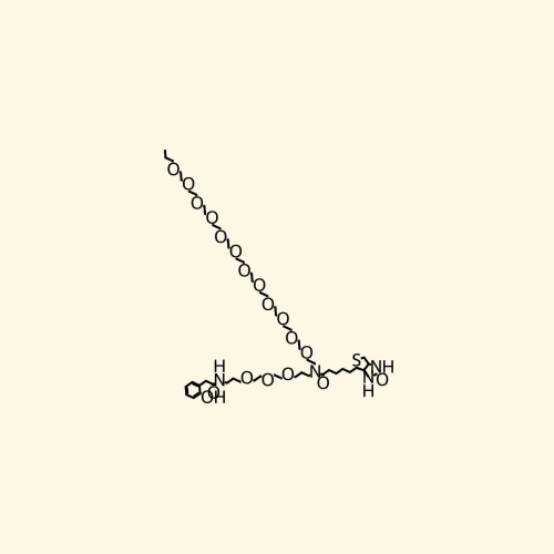 CCCOCCOCCOCCOCCOCCOCCOCCOCCOCCOCCOCCOCCN(CCCOCCOCCOCCCNC(=O)Cc1ccccc1O)C(=O)CCCCC1SCC2NC(=O)NC21